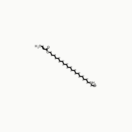 CC=CC(=O)OCCCCCCCCCCCCCCCCCCCC[SiH2]CBr